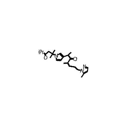 Cc1ccnn1CCCC(C)C(=O)C(C)c1ccn(C(C)(C)CC(=O)C(C)C)c1